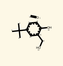 C=O.CC(C)(C)c1ccc(O)c(CO)c1